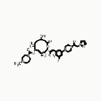 C/C(=C\c1cc(F)cc(N2CCN(C(=O)Cn3cccn3)CC2)c1)[C@H]1OC(=O)C[C@H](O)CC[C@H](C)[C@H](OC(=O)N2CCCN(C)CC2)/C=C/[C@@H]1C